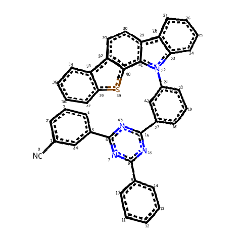 N#Cc1cccc(-c2nc(-c3ccccc3)nc(-c3cccc(-n4c5ccccc5c5ccc6c7ccccc7sc6c54)c3)n2)c1